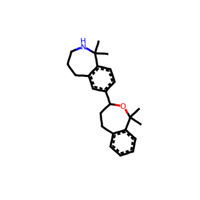 CC1(C)NCCCc2cc(C3CCc4ccccc4C(C)(C)O3)ccc21